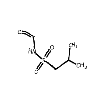 CC(C)CS(=O)(=O)N[C]=O